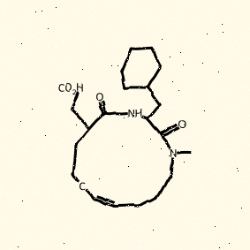 CN1CCCC=CCCCC(CC(=O)O)C(=O)NC(CC2CCCCC2)C1=O